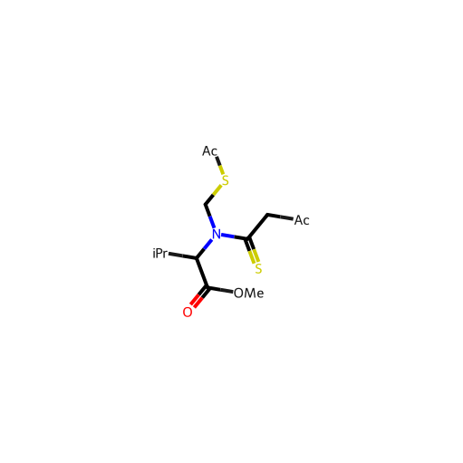 COC(=O)C(C(C)C)N(CSC(C)=O)C(=S)CC(C)=O